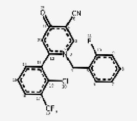 N#Cc1cn(Cc2ccccc2F)c(-c2cccc(C(F)(F)F)c2Cl)cc1=O